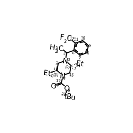 CC[C@H]1CN(C(C)c2ccccc2C(F)(F)F)[C@H](CC)CN1C(=O)OC(C)(C)C